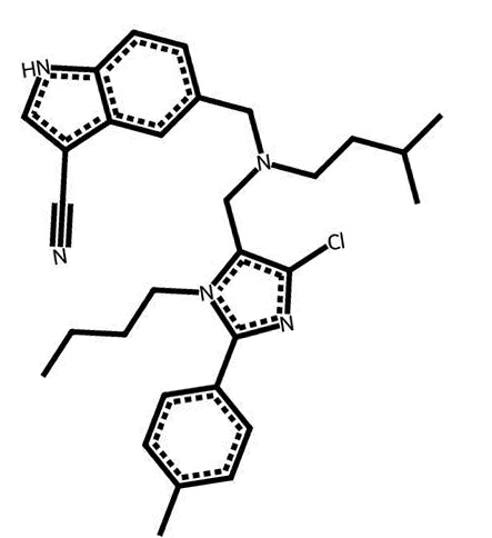 CCCCn1c(-c2ccc(C)cc2)nc(Cl)c1CN(CCC(C)C)Cc1ccc2[nH]cc(C#N)c2c1